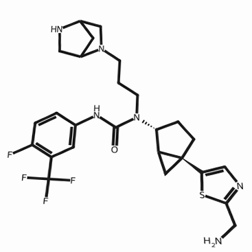 NCc1ncc([C@]23CC[C@@H](N(CCCN4CC5CC4CN5)C(=O)Nc4ccc(F)c(C(F)(F)F)c4)C2C3)s1